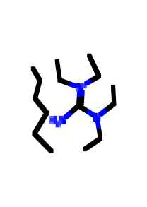 CCCCCC.CCN(CC)C(N)=[N+](CC)CC